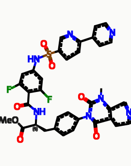 COC(=O)[C@H](Cc1ccc(-n2c(=O)c3ccncc3n(C)c2=O)cc1)NC(=O)c1c(F)cc(NS(=O)(=O)c2ccc(-c3ccncc3)nc2)cc1F